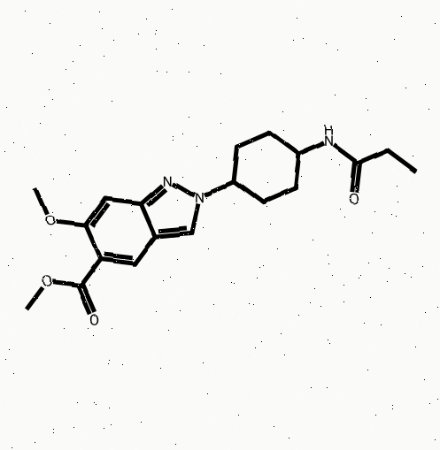 CCC(=O)NC1CCC(n2cc3cc(C(=O)OC)c(OC)cc3n2)CC1